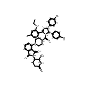 CCOc1cc(I)ccc1C1=N[C@@H](c2ccc(Cl)cc2)[C@@H](c2ccc(Cl)cc2)N1C(=O)N1CCN(c2cccc3c2C(=O)N(C2CCC(=O)NC2O)C3=O)CC1